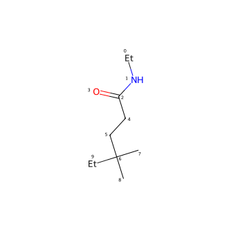 CCNC(=O)CCC(C)(C)CC